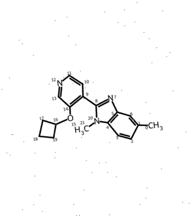 Cc1ccc2c(c1)nc(-c1ccncc1OC1CCC1)n2C